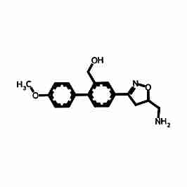 COc1ccc(-c2ccc(C3=NOC(CN)C3)cc2CO)cc1